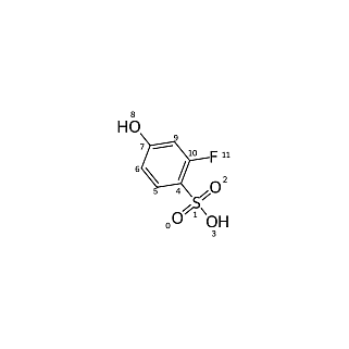 O=S(=O)(O)c1ccc(O)cc1F